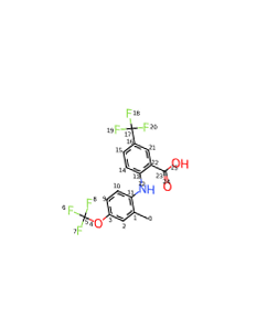 Cc1cc(OC(F)(F)F)ccc1Nc1ccc(C(F)(F)F)cc1C(=O)O